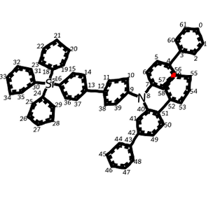 c1ccc(-c2ccc(N(c3ccc(-c4ccc([Si](c5ccccc5)(c5ccccc5)c5ccccc5)cc4)cc3)c3cc(-c4ccccc4)ccc3-c3ccccc3)cc2)cc1